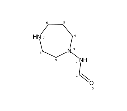 O=CNN1CCCNCC1